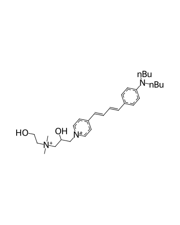 CCCCN(CCCC)c1ccc(C=CC=Cc2cc[n+](CC(O)C[N+](C)(C)CCO)cc2)cc1